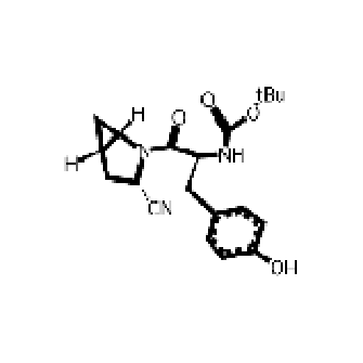 CC(C)(C)OC(=O)N[C@@H](Cc1ccc(O)cc1)C(=O)N1[C@H](C#N)C[C@@H]2C[C@@H]21